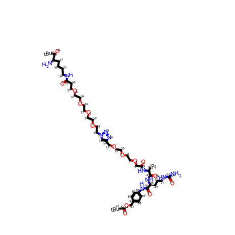 CC(C)C(NC(=O)COCCOCCOCc1cn(CCOCCOCCOCCOCCC(=O)NCCCC[C@@H](N)C(=O)C(C)(C)C)nn1)C(=O)N[C@@H](CCCNC(N)=O)C(=O)Nc1ccc(COC(=O)C(C)(C)C)cc1